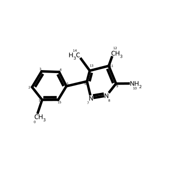 Cc1cccc(-c2nnc(N)c(C)c2C)c1